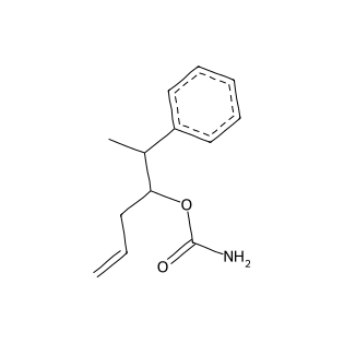 C=CCC(OC(N)=O)C(C)c1ccccc1